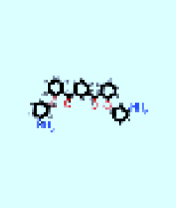 Nc1cccc(Oc2ccccc2C(=O)c2cccc(C(=O)c3ccccc3Oc3cccc(N)c3)c2)c1